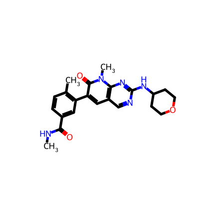 CNC(=O)c1ccc(C)c(-c2cc3cnc(NC4CCOCC4)nc3n(C)c2=O)c1